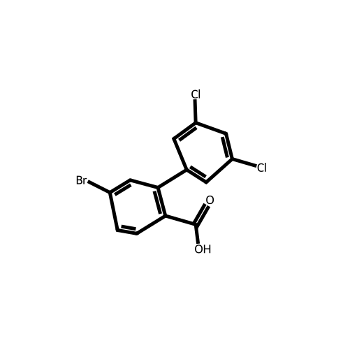 O=C(O)c1ccc(Br)cc1-c1cc(Cl)cc(Cl)c1